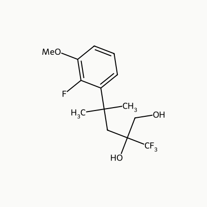 COc1cccc(C(C)(C)CC(O)(CO)C(F)(F)F)c1F